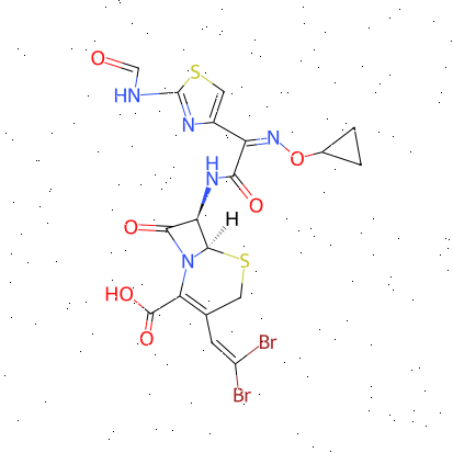 O=CNc1nc(/C(=N/OC2CC2)C(=O)N[C@@H]2C(=O)N3C(C(=O)O)=C(C=C(Br)Br)CS[C@H]23)cs1